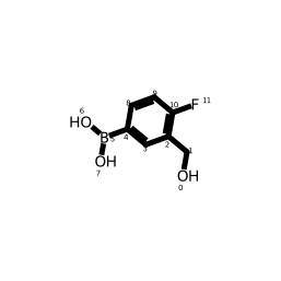 OCc1cc(B(O)O)ccc1F